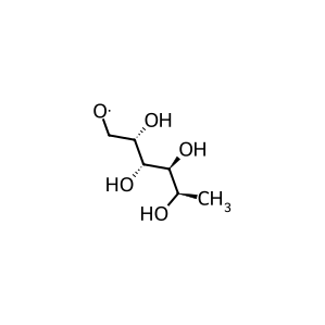 C[C@@H](O)[C@H](O)[C@H](O)[C@@H](O)C[O]